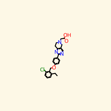 CCc1cccc(Cl)c1COc1ccc(-c2ncc3c(n2)CCN(CC(=O)O)C3)cc1